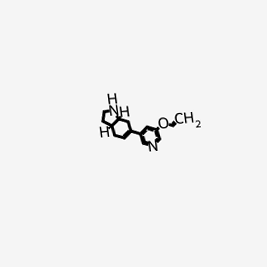 C=COc1cncc(C2=CC[C@@H]3CCN[C@@H]3C2)c1